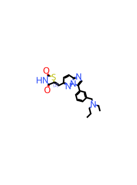 CCCN(CC)Cc1cccc(-c2cnc3ccc(/C=C4\SC(=O)NC4=O)nn23)c1